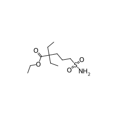 CCOC(=O)C(CC)(CC)CCCS(N)(=O)=O